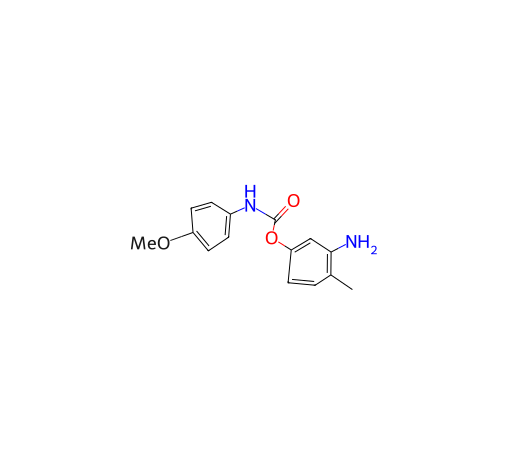 COc1ccc(NC(=O)Oc2ccc(C)c(N)c2)cc1